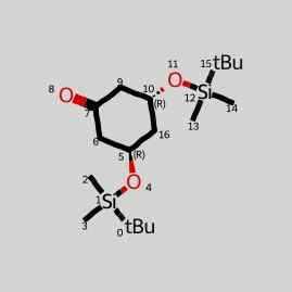 CC(C)(C)[Si](C)(C)O[C@H]1CC(=O)C[C@H](O[Si](C)(C)C(C)(C)C)C1